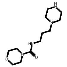 O=C(NCCCN1CCNCC1)N1CCOCC1